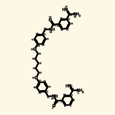 N=C(N)c1cccc(C(=O)NCc2ccc(OCCCCCOc3ccc(CNC(=O)c4cccc(C(=N)N)c4)cc3)cc2)c1